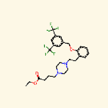 CCOC(=O)CCCN1CCN(CCc2ccccc2OCc2cc(C(F)(F)F)cc(C(F)(F)F)c2)CC1